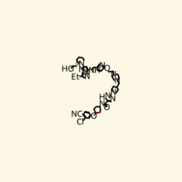 CCc1cnn2c(NCc3ccc(OCCN4CCN(CC5CCN(c6ncc(C(=O)N[C@H]7CC[C@H](Oc8ccc(C#N)c(Cl)c8)CC7)cn6)CC5)CC4)nc3)cc(N3CCCC[C@H]3CCO)nc12